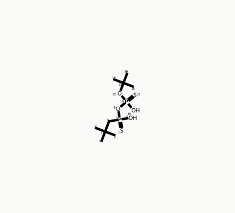 CC(C)(C)CP(O)(=S)OP(O)(=S)OC(C)(C)C